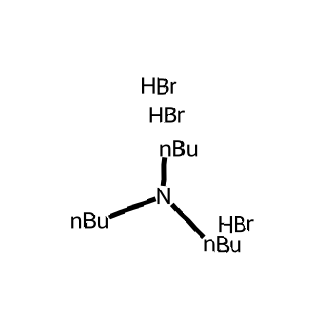 Br.Br.Br.CCCCN(CCCC)CCCC